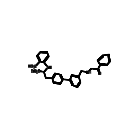 CCOC(=O)[C@H](Cc1ccc(-c2cccc(CNCC(=O)c3ccccc3)c2)cc1)Nc1ccccc1C(=O)O